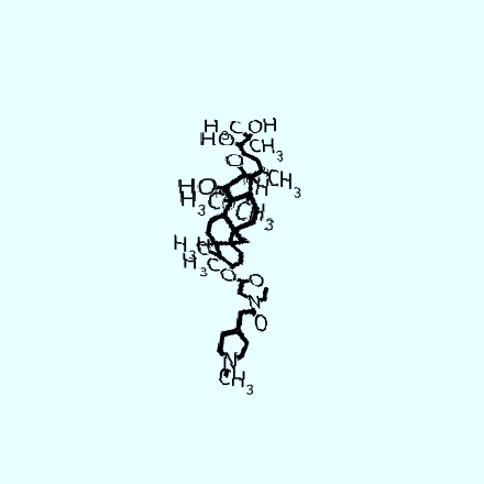 C[C@@H]1CC(C(O)C(C)(C)O)OC2[C@H]1C1(C)CCC34CC35CCC(OC3CN(C(=O)CC6CCN(C)CC6)CCO3)C(C)(C)[C@@H]5CCC4[C@]1(C)[C@H]2O